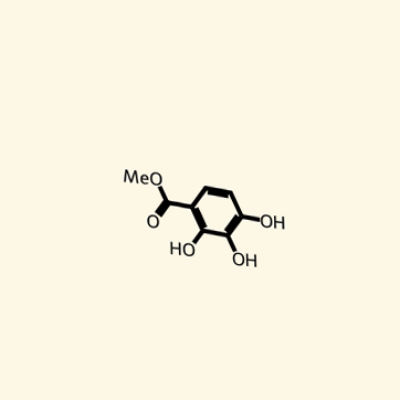 COC(=O)c1ccc(O)c(O)c1O